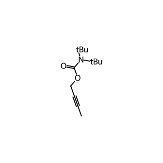 CC#CCOC(=O)N(C(C)(C)C)C(C)(C)C